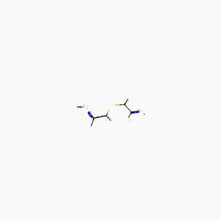 C/N=C(\C)C(C)SC(C)/C(C)=N/C